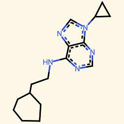 c1nc(NCCC2CCCCC2)c2ncn(C3CC3)c2n1